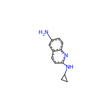 Nc1ccc2nc(NC3CC3)ccc2c1